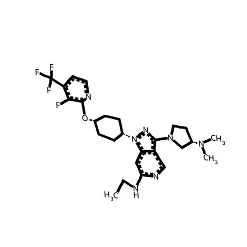 CCNc1cc2c(cn1)c(N1CC[C@H](N(C)C)C1)nn2[C@H]1CC[C@@H](Oc2nccc(C(F)(F)F)c2F)CC1